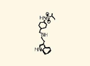 CC(C)S(=O)(=O)NC1CCC(CNCCc2c[nH]c3ccccc23)CC1